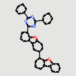 c1ccc(-c2nc(-c3ccccc3)nc(-c3cccc4c3oc3ccc(-c5cccc6c5oc5ccccc56)cc34)n2)cc1